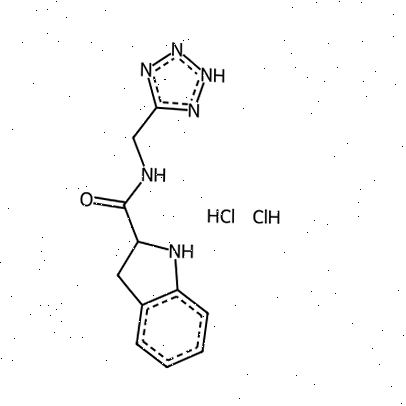 Cl.Cl.O=C(NCc1nn[nH]n1)C1Cc2ccccc2N1